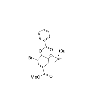 COC(=O)C1=CC(Br)C(OC(=O)c2ccccc2)C(O[Si](C)(C)C(C)(C)C)C1